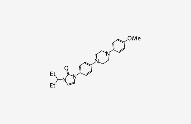 CCC(CC)n1ccn(-c2ccc(N3CCN(c4ccc(OC)cc4)CC3)cc2)c1=O